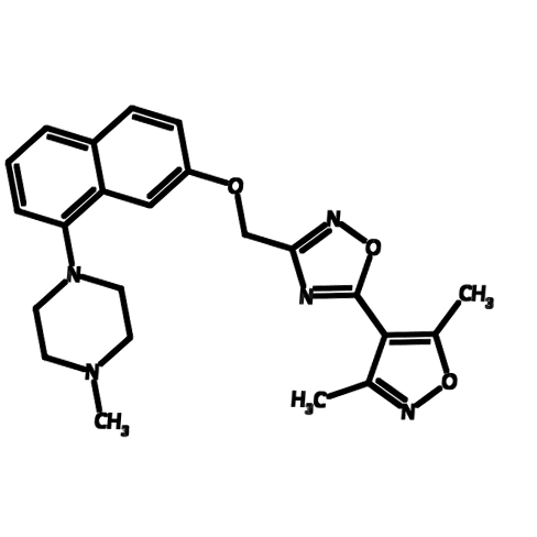 Cc1noc(C)c1-c1nc(COc2ccc3cccc(N4CCN(C)CC4)c3c2)no1